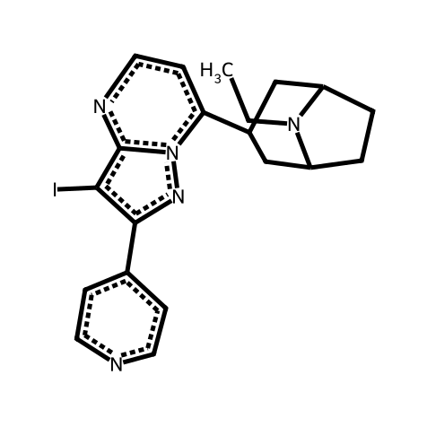 CCN1C2CCC1CC(c1ccnc3c(I)c(-c4ccncc4)nn13)C2